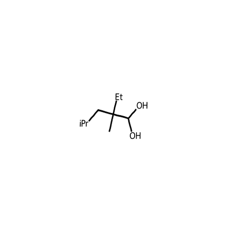 CCC(C)(CC(C)C)C(O)O